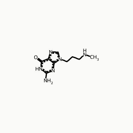 CNCCCn1cnc2c(=O)[nH]c(N)nc21